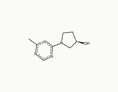 Cc1cc(N2CC[C@@H](O)C2)ncn1